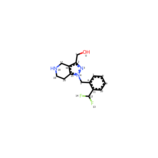 OCc1nn(Cc2ccccc2C(F)F)c2c1CNCC2